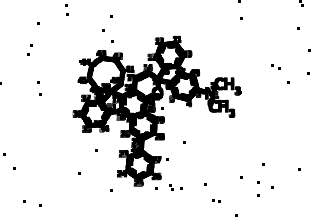 CN(C)c1ccc(C2(c3ccccc3)C=Cc3c4c(c5cc(-c6ccccc6)ccc5c3O2)-c2ccccc2C42CCCCCCC2)cc1